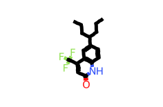 CCCC(CCC)c1ccc2[nH]c(=O)cc(C(F)(F)F)c2c1